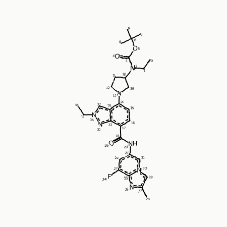 CCN(C(=O)OC(C)(C)C)C1CCN(c2ccc(C(=O)Nc3cc(F)c4nc(C)cn4c3)c3nn(CC)cc23)C1